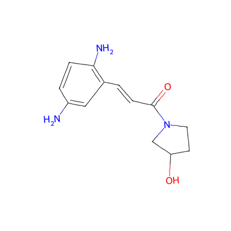 Nc1ccc(N)c(C=CC(=O)N2CCC(O)C2)c1